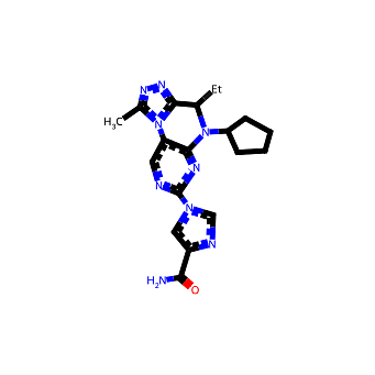 CCC1c2nnc(C)n2-c2cnc(-n3cnc(C(N)=O)c3)nc2N1C1CCCC1